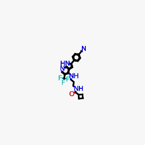 N#Cc1ccc(-c2cc3c(NCCCNC(=O)C4CCC4)c(C(F)(F)F)cnc3[nH]2)cc1